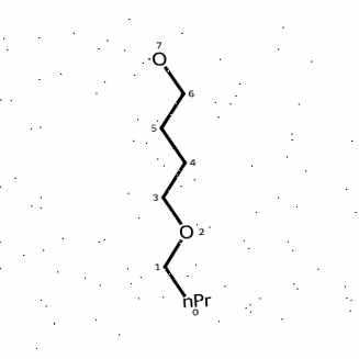 CCCCOCCCC[O]